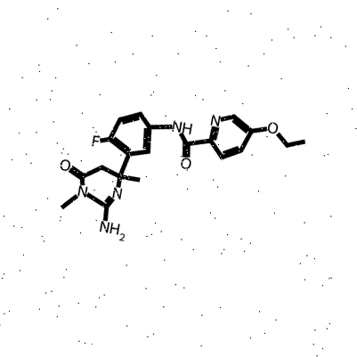 CCOc1ccc(C(=O)Nc2ccc(F)c(C3(C)CC(=O)N(C)C(N)=N3)c2)nc1